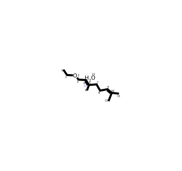 CCOC/C=C(\C)CCC=C(C)C.O